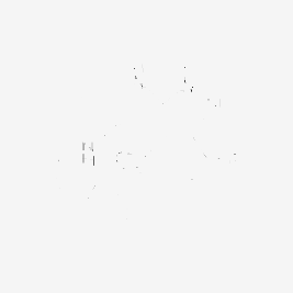 FC(F)C1NNC(NC2CCCNC2Oc2ccccc2[C@@]2(C(F)(F)F)CCO2)S1